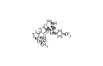 CS(=O)(=O)Nc1ncccc1-c1ccc([C@]2(NC(=O)Nc3ccc(C(F)(F)F)cc3)CCCNC2=O)cc1